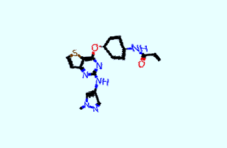 C=CC(=O)N[C@H]1CC[C@H](Oc2nc(Nc3cnn(C)c3)nc3ccsc23)CC1